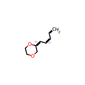 C=C/C=C\C=C1/COCCO1